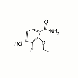 CCOc1c(F)cccc1C(N)=O.Cl